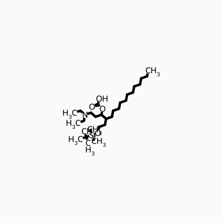 CCCCCCCCCCCCC(CCO[Si](C)(C)C(C)(C)C)C(CCN(CC)CC)OC(=O)O